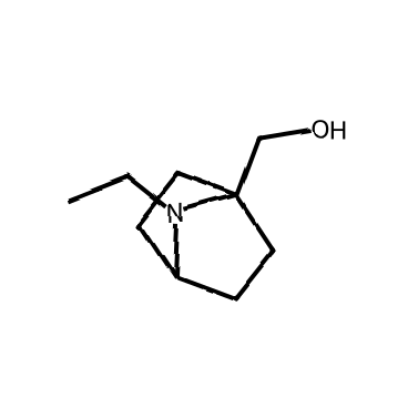 CCN1C2CCC1(CO)CC2